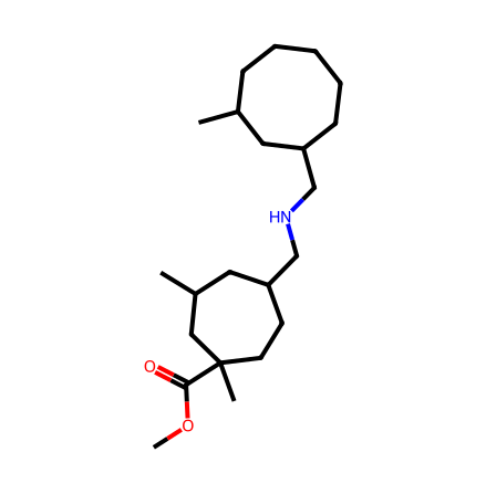 COC(=O)C1(C)CCC(CNCC2CCCCCC(C)C2)CC(C)C1